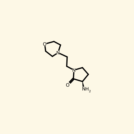 N[C@@H]1CCN(CCN2CCOCC2)C1=O